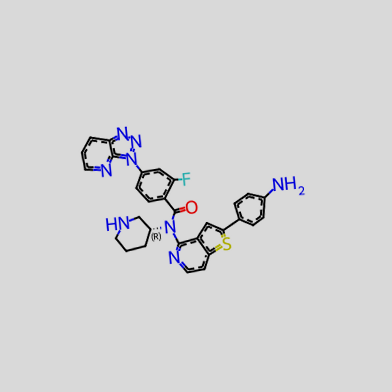 Nc1ccc(-c2cc3c(N(C(=O)c4ccc(-n5nnc6cccnc65)cc4F)[C@@H]4CCCNC4)nccc3s2)cc1